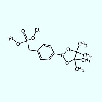 CCOP(=O)(Cc1ccc(B2OC(C)(C)C(C)(C)O2)cc1)OCC